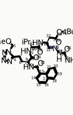 COCn1nnnc1CC[C@H](NC(=O)c1cccc2ccccc12)C(=O)N[C@H](C(=O)N[C@H](/C=N/NC(N)=O)CC(=O)OC(C)(C)C)C(C)C